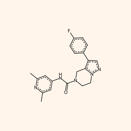 Cc1cc(NC(=O)N2CCn3ncc(-c4ccc(F)cc4)c3C2)cc(C)n1